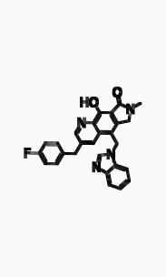 CN1Cc2c(c(O)c3ncc(Cc4ccc(F)cc4)cc3c2Cn2cnc3ccccc32)C1=O